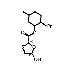 CC1CCC(C(C)C)C(OC(=O)[C@@H]2O[C@@H](O)CS2)C1